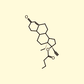 C#C[C@]1(OC(=O)CCC)CCC2C3CCC4=CC(=O)CCC4C3CC[C@@]21CC